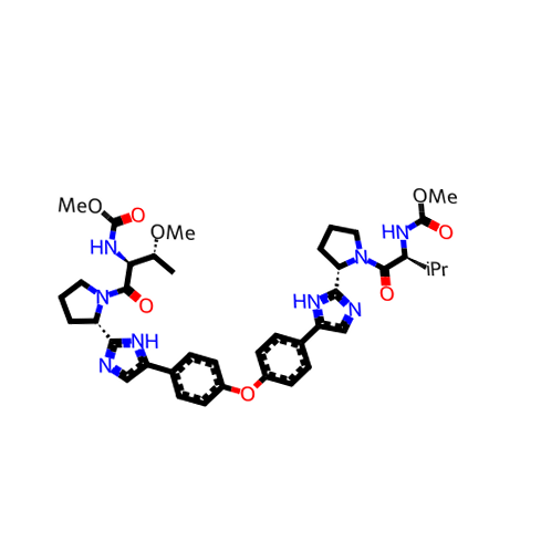 COC(=O)N[C@H](C(=O)N1CCC[C@H]1c1ncc(-c2ccc(Oc3ccc(-c4cnc([C@@H]5CCCN5C(=O)[C@@H](NC(=O)OC)[C@@H](C)OC)[nH]4)cc3)cc2)[nH]1)C(C)C